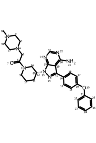 CN1CCN(CC(=O)N2CCC[C@@H](n3nc(-c4ccc(Oc5ccccc5)cc4)c4c(N)ncnc43)C2)CC1